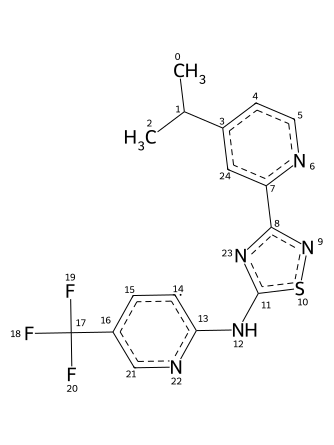 CC(C)c1ccnc(-c2nsc(Nc3[c]cc(C(F)(F)F)cn3)n2)c1